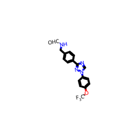 O=CNCc1ccc(-c2ncn(-c3ccc(OC(F)(F)F)cc3)n2)cc1